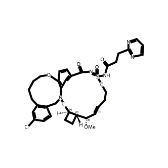 CO[C@H]1/C=C/CCCS(=O)(NC(=O)CCc2ncccn2)=NC(=O)c2ccc3c(c2)N(Cc2ccc(Cl)cc2CCCCO3)C[C@@H]2CC[C@H]21